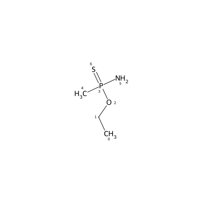 CCOP(C)(N)=S